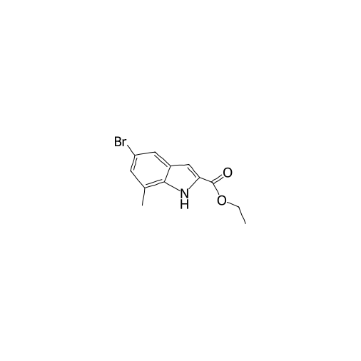 CCOC(=O)c1cc2cc(Br)cc(C)c2[nH]1